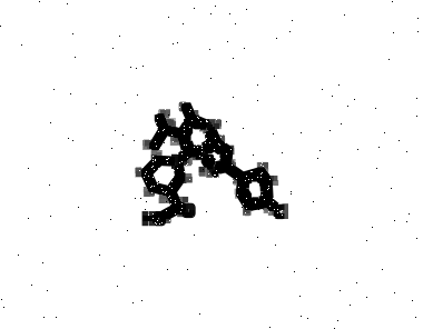 Cc1nc2cc(-c3ccc(Cl)cc3)nn2c(N2CCCC(C(=O)O)C2)c1C(C)C